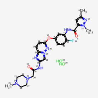 Cc1cc(C(=O)Nc2cc(Oc3ccc4nc(NC(=O)CN5CCN(C)CC5)cn4n3)ccc2F)n(C)n1.Cl.Cl